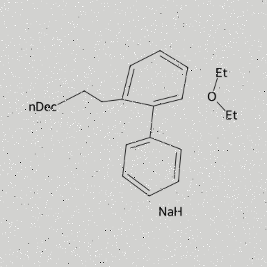 CCCCCCCCCCCCc1ccccc1-c1ccccc1.CCOCC.[NaH]